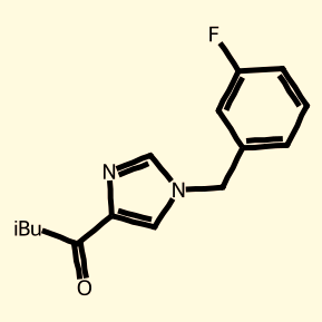 CCC(C)C(=O)c1cn(Cc2cccc(F)c2)cn1